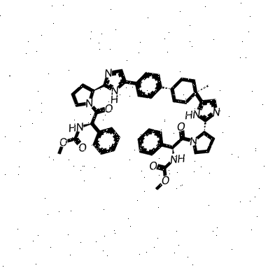 COC(=O)N[C@@H](C(=O)N1CCC[C@H]1c1ncc(-c2ccc([C@H]3CC[C@](C)(c4cnc([C@@H]5CCCN5C(=O)[C@H](NC(=O)OC)c5ccccc5)[nH]4)CC3)cc2)[nH]1)c1ccccc1